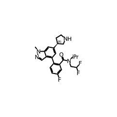 CC(C)N(CC(F)F)C(=O)c1cc(F)ccc1-c1cc([C@H]2CCNC2)cc2c1cnn2C